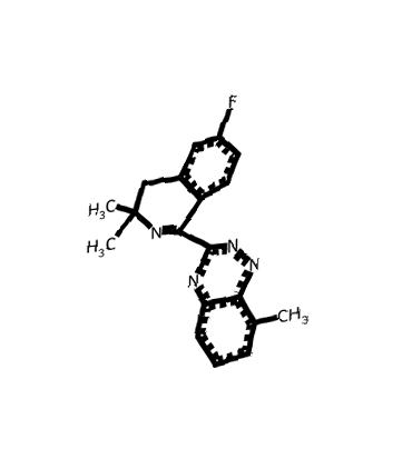 Cc1cccc2nc(C3=NC(C)(C)Cc4cc(F)ccc43)nnc12